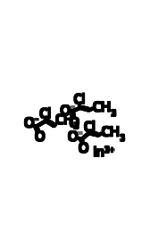 C/C=C(\Cl)C(=O)[O-].C/C=C(\Cl)C(=O)[O-].C/C=C(\Cl)C(=O)[O-].[In+3]